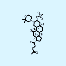 CC(=O)SCC(=O)[C@H]1CC[C@H]2[C@@H]3CC[C@H]4C[C@H](OS(C)(=O)=O)[C@@H](N5CCOC(C)(C)C5)C[C@]4(C)[C@H]3C(=O)C[C@]12C